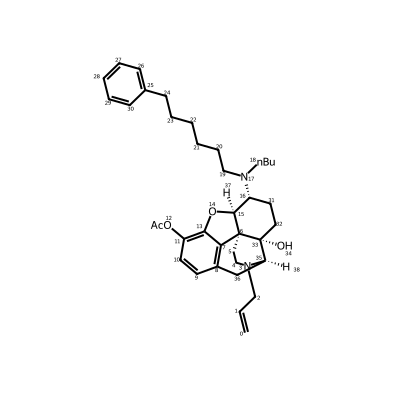 C=CCN1CC[C@]23c4c5ccc(OC(C)=O)c4O[C@H]2[C@H](N(CCCC)CCCCCCc2ccccc2)CC[C@@]3(O)[C@H]1C5